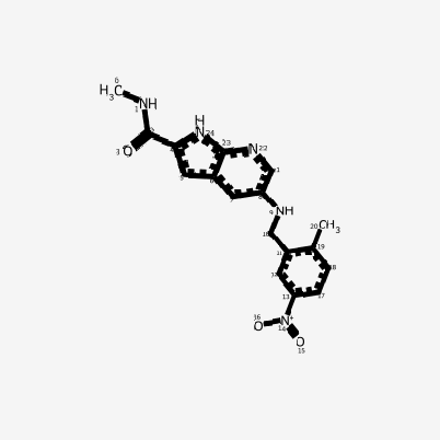 CNC(=O)c1cc2cc(NCc3cc([N+](=O)[O-])ccc3C)cnc2[nH]1